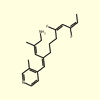 C/C=C(F)\C=C(\F)CCCC(/C=C(/C)CN)=C/c1ccncc1C